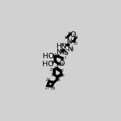 O[C@@H]1[C@H](O)[C@@H](Nc2nc(N3CCOCC3)ns2)CO[C@@H]1c1ccc(CC2CCC2)cc1